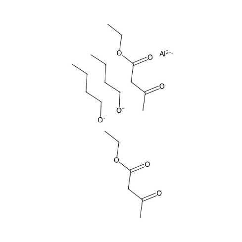 CCCC[O-].CCCC[O-].CCOC(=O)CC(C)=O.CCOC(=O)CC(C)=O.[Al+2]